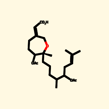 CC(=O)OC(CC=C(C)C)C(C)CCC[C@@]1(C)OCC(=CC(=O)O)CCC1OC(C)=O